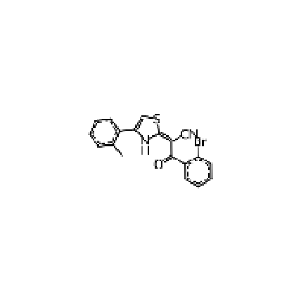 Cc1ccccc1C1=CS/C(=C(\C#N)C(=O)c2ccccc2Br)N1